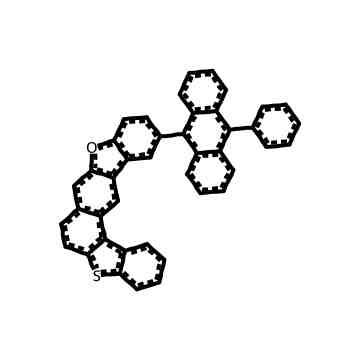 c1ccc(-c2c3ccccc3c(-c3ccc4oc5cc6ccc7sc8ccccc8c7c6cc5c4c3)c3ccccc23)cc1